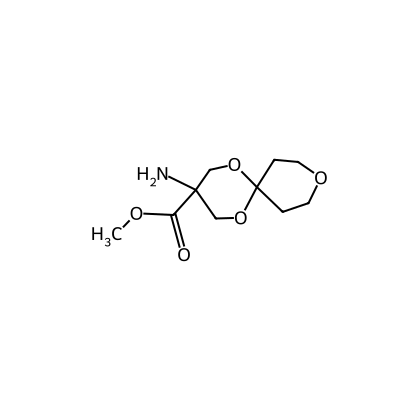 COC(=O)C1(N)COC2(CCOCC2)OC1